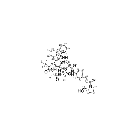 C[C@H](NC(=O)OC(C)(C)C)C(=O)N[C@@H](C)C(=O)N[C@@H](CC(=O)NC(c1ccccc1)(c1ccccc1)c1ccccc1)C(=O)Nc1ccc(COC(=O)N2CCC[C@H]2CO)cc1